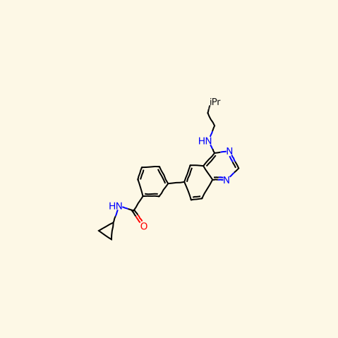 CC(C)CCNc1ncnc2ccc(-c3cccc(C(=O)NC4CC4)c3)cc12